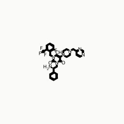 Cc1c(N2CCN(Cc3ccncn3)CC2)c(=O)n(C[C@H](N)c2ccccc2)c(=O)n1Cc1c(F)cccc1C(F)(F)F